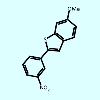 COc1ccc2cc(-c3cccc([N+](=O)[O-])c3)sc2c1